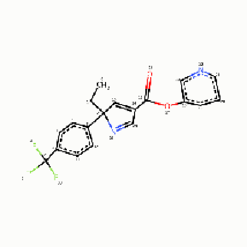 CCC1(c2ccc(C(F)(F)F)cc2)C=C(C(=O)Oc2cccnc2)C=N1